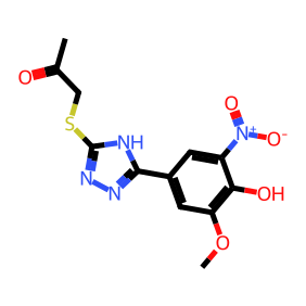 COc1cc(-c2nnc(SCC(C)=O)[nH]2)cc([N+](=O)[O-])c1O